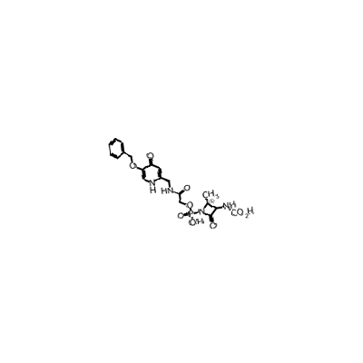 C[C@H]1C(NC(=O)O)C(=O)N1P(=O)(O)OCC(=O)NCc1cc(=O)c(OCc2ccccc2)c[nH]1